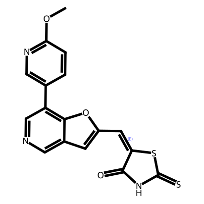 COc1ccc(-c2cncc3cc(/C=C4/SC(=S)NC4=O)oc23)cn1